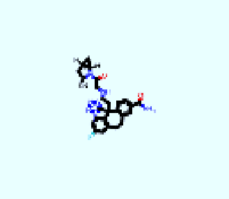 N#CC1C[C@@H]2C[C@@H]2N1C(=O)CNCCC1(c2nnn[nH]2)c2ccc(F)cc2CCc2cc(C(N)=O)ccc21